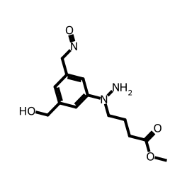 COC(=O)CCCN(N)c1cc(CO)cc(CN=O)c1